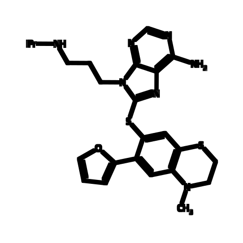 CC(C)NCCCn1c(Sc2cc3c(cc2-c2ccco2)N(C)CCS3)nc2c(N)ncnc21